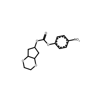 O=C(Oc1ccc([N+](=O)[O-])cc1)OC1CC2OCCOC2C1